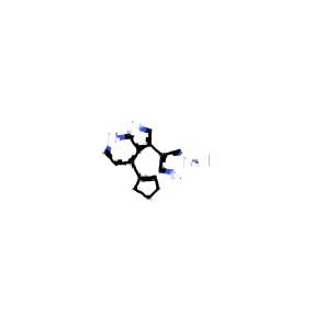 Cn1cc(-c2c[nH]c3nccc(C4=CCCC4)c23)cn1